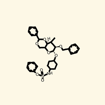 CC1[C@@H]2OC(c3ccccc3)OCC2O[C@@H](OC2CCC(NS(=O)(=O)Oc3ccccc3)CC2)[C@@H]1OCc1ccccc1